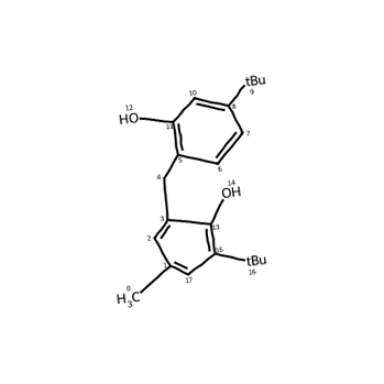 Cc1cc(Cc2ccc(C(C)(C)C)cc2O)c(O)c(C(C)(C)C)c1